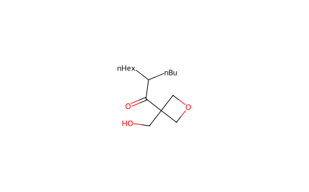 CCCCCCC(CCCC)C(=O)C1(CO)COC1